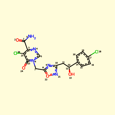 NC(=O)c1ncn(Cc2nc(C[C@H](O)c3ccc(Cl)cc3)no2)c(=O)c1Cl